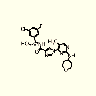 Cc1cnc(NC2CCOCC2)nc1-n1cnc(C(=O)N[C@H](CO)c2cc(F)cc(Cl)c2)c1